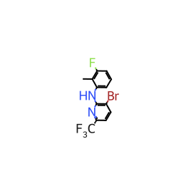 Cc1c(F)cccc1Nc1nc(C(F)(F)F)ccc1Br